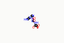 COc1cc(C=O)c(CNc2ccc(C(=O)Nc3cnccc3N3CC4CNCC4C3)o2)cc1OC